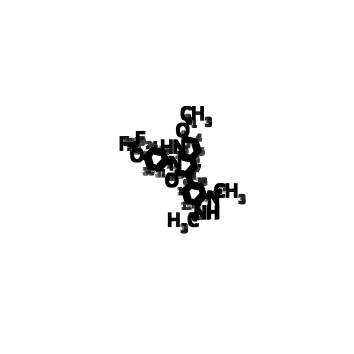 CCOC1C=Cc2cc(-c3ccc(NC)c(NC)c3)c(=O)n(-c3ccc(OC(F)F)cc3)c2N1